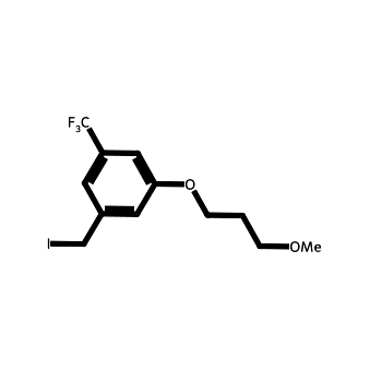 COCCCOc1cc(CI)cc(C(F)(F)F)c1